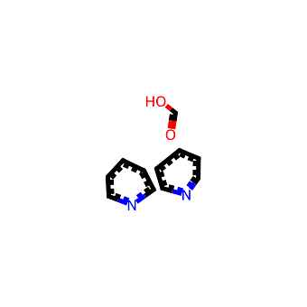 O=CO.c1ccncc1.c1ccncc1